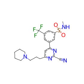 CNS(=O)(=O)c1cc(-c2cc(CCCN3CCCCC3)nc(C#N)n2)cc(C(F)(F)F)c1